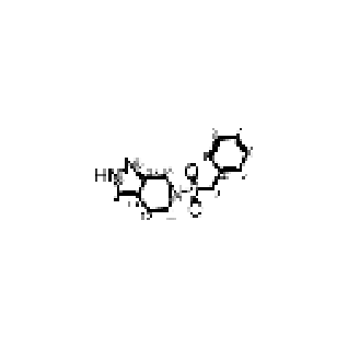 O=S(=O)(Cc1ccccc1)N1CCc2c[nH]nc2C1